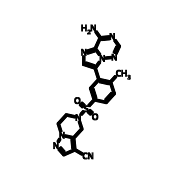 Cc1ccc(S(=O)(=O)N2CCn3ncc(C#N)c3C2)cc1-c1cnc2c(N)ncnn12